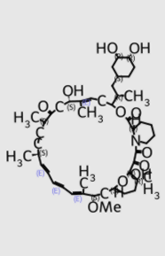 CO[C@H]1C[C@@H]2CC[C@@H](C)[C@@](O)(O2)C(=O)C(=O)N2CCCC[C@H]2C(=O)OC([C@H](C)C[C@@H]2CC[C@@H](O)[C@H](O)C2)C/C=C(\C)[C@@H](O)CC(=O)[C@H](C)CC[C@H](C)/C=C/C=C/C=C/1C